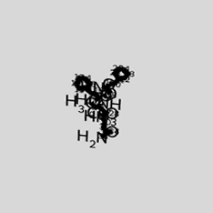 CC(C)[C@H](NP(=O)(O)C(Cc1ccccc1)NC(=O)OCc1ccccc1)C(=O)NCCC(N)=O